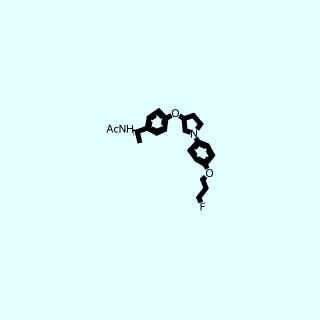 CC(=O)N[C@@H](C)c1ccc(OC2CCN(c3ccc(OCCCF)cc3)C2)cc1